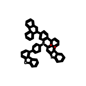 c1ccc(-c2ccc(-c3cc4ccccc4c4ccccc34)cc2N(c2ccc(-c3cccc4oc5ccccc5c34)cc2)c2ccc3c(c2)sc2ccccc23)cc1